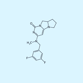 CN(Cc1cc(F)cc(F)c1)c1cc2n(c(=O)n1)CC1CCCN21